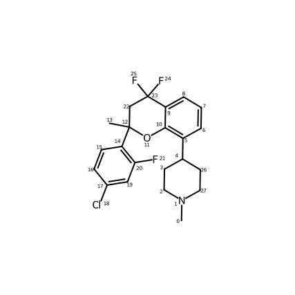 CN1CCC(c2cccc3c2OC(C)(c2ccc(Cl)cc2F)CC3(F)F)CC1